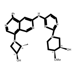 CO[C@H]1CCN(c2nccc(Nc3cc4c(C(C)C)ncc(N5C[C@H](O)[C@H]5C)c4cn3)n2)C[C@H]1O